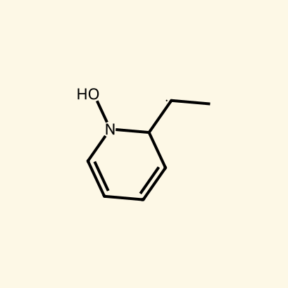 C[CH]C1C=CC=CN1O